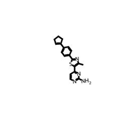 Cc1nc(-c2ccc(C3=CCCC3)cc2)sc1-c1ccnc(N)n1